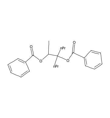 CCCC(CCC)(OC(=O)c1ccccc1)C(C)OC(=O)c1ccccc1